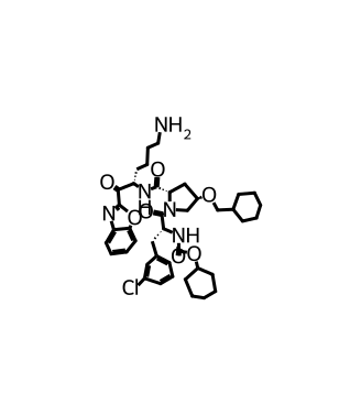 NCCCC[C@H](NC(=O)[C@@H]1C[C@@H](OCC2CCCCC2)CN1C(=O)[C@@H](Cc1cccc(Cl)c1)NC(=O)OC1CCCCC1)C(=O)c1nc2ccccc2o1